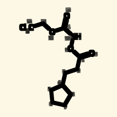 O=C(CCC1CCCC1)ONC(=O)OCC(Cl)(Cl)Cl